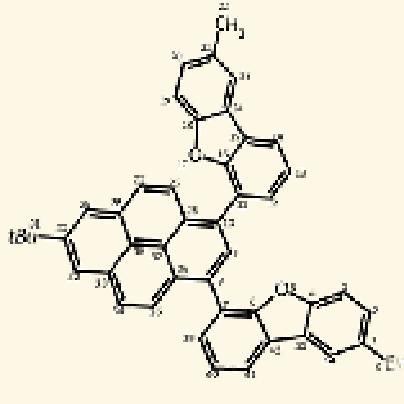 CCc1ccc2oc3c(-c4cc(-c5cccc6c5oc5ccc(C)cc56)c5ccc6cc(C(C)(C)C)cc7ccc4c5c67)cccc3c2c1